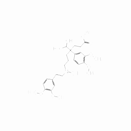 COc1ccc(CCN(C)CCCC(CCC(=O)OBr)(c2ccc(OC)c(OC)c2)C(C)C)cc1OC